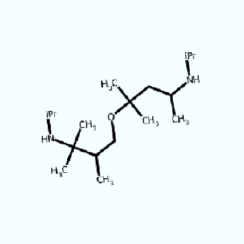 CC(C)NC(C)CC(C)(C)OCC(C)C(C)(C)NC(C)C